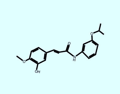 COc1ccc(C=CC(=O)Nc2cccc(OC(C)C)c2)cc1O